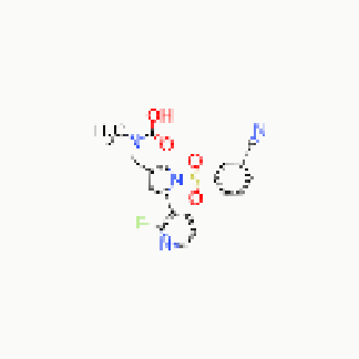 CN(Cc1cc(-c2cccnc2F)n(S(=O)(=O)c2cccc(C#N)c2)c1)C(=O)O